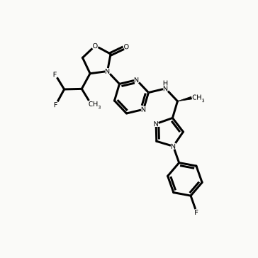 CC(C(F)F)C1COC(=O)N1c1ccnc(N[C@@H](C)c2cn(-c3ccc(F)cc3)cn2)n1